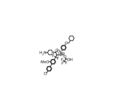 COc1cc(C(F)(F)[C@H](NS(=O)(=O)c2ccc(OCC3CCCCC3)cc2)C(=O)N2CCC(N)CC2)ccc1-c1ccc(Cl)cc1.O=C(O)C(F)(F)F